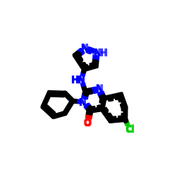 O=c1c2cc(Cl)ccc2nc(Nc2cn[nH]c2)n1C1C=CC=CC1